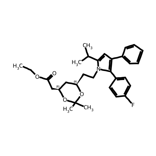 CCOC(=O)C[C@H]1C[C@@H](CCn2c(C(C)C)cc(-c3ccccc3)c2-c2ccc(F)cc2)OC(C)(C)O1